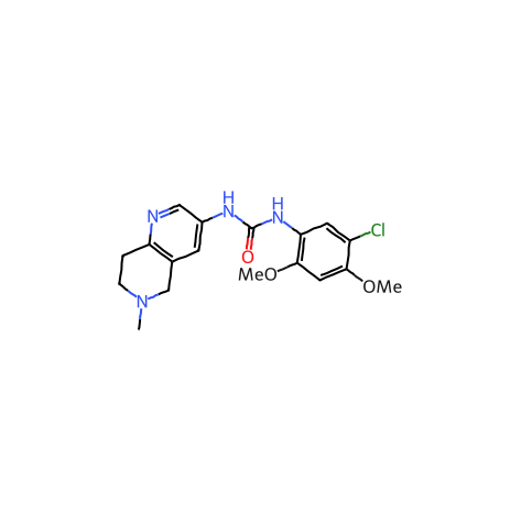 COc1cc(OC)c(NC(=O)Nc2cnc3c(c2)CN(C)CC3)cc1Cl